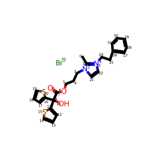 Cc1n(CCCOC(=O)C(O)(c2cccs2)c2cccs2)cc[n+]1CCc1ccccc1.[Br-]